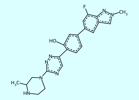 CC1CN(c2ncc(-c3ccc(-c4cc(F)c5nn(C)cc5c4)cc3O)nn2)CCN1